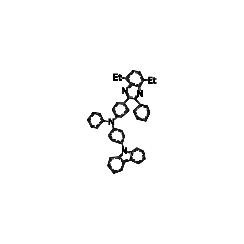 CCc1ccc(CC)c2nc(-c3ccc(N(c4ccccc4)c4ccc(-n5c6ccccc6c6ccccc65)cc4)cc3)c(-c3ccccc3)nc12